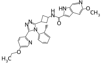 CCOc1ccc(-c2nnc(C3CC(NC(=O)c4cc5cc(OC)ncc5[nH]4)C3)n2-c2ccccc2F)nc1